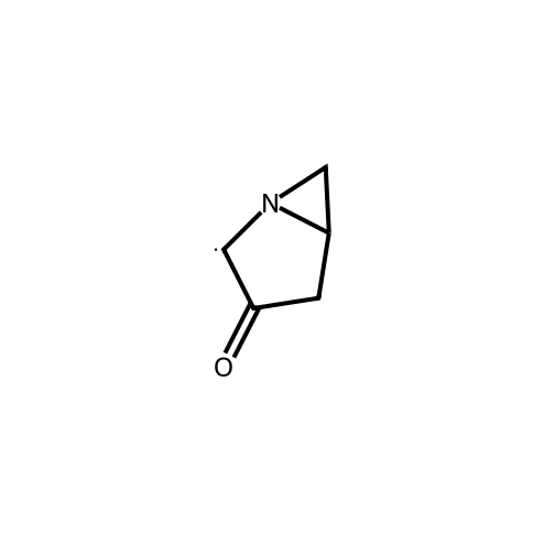 O=C1[CH]N2CC2C1